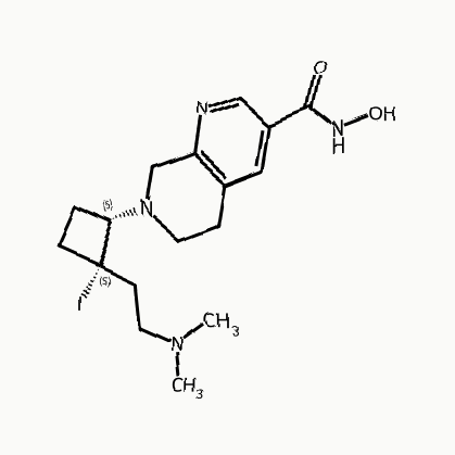 CN(C)CC[C@@]1(I)CC[C@@H]1N1CCc2cc(C(=O)NO)cnc2C1